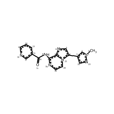 Cn1cc(-c2cnc3c(NC(=O)c4cccnc4)nccn23)cn1